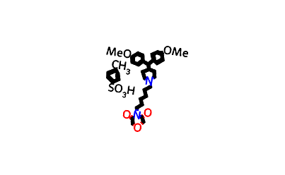 COc1ccc(C(c2ccc(OC)cc2)C2CCN(CCCCCCN3C(=O)COCC3=O)CC2)cc1.Cc1ccc(S(=O)(=O)O)cc1